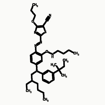 CCCCNOc1cc(N(CC(CC)CCCC)c2cccc(C(C)(C)CC)c2)ccc1N=Nc1nc(OCCC)c(C#N)s1